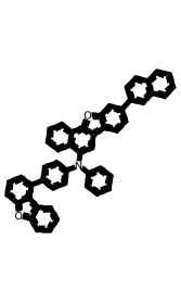 c1ccc(N(c2ccc(-c3cccc4oc5ccccc5c34)cc2)c2cc3c4ccc(-c5ccc6ccccc6c5)cc4oc3c3ccccc23)cc1